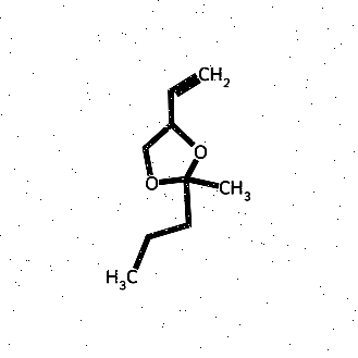 C=CC1COC(C)(CCC)O1